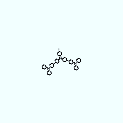 Fc1ccc(N(c2ccc(-c3ccc(N(c4ccccc4)c4ccccc4)cc3)cc2)c2ccc(-c3ccc(N(c4ccccc4)c4ccccc4)cc3)cc2)cc1